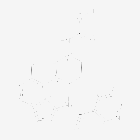 Cc1cncc(C(=O)Nc2c[nH]c3ncc(Br)c(N4CCC[C@@H](NC(=O)OC(C)(C)C)C4)c23)c1